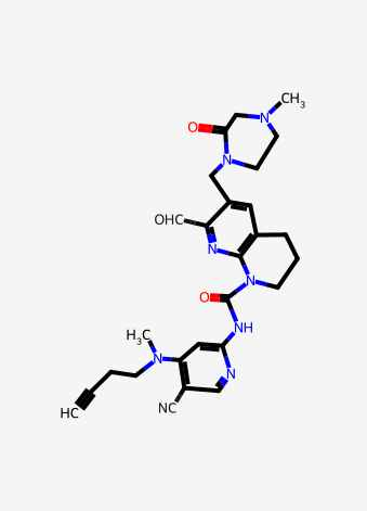 C#CCCN(C)c1cc(NC(=O)N2CCCc3cc(CN4CCN(C)CC4=O)c(C=O)nc32)ncc1C#N